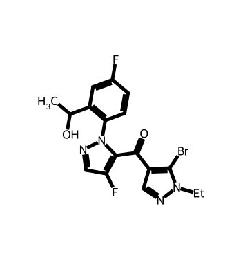 CCn1ncc(C(=O)c2c(F)cnn2-c2ccc(F)cc2C(C)O)c1Br